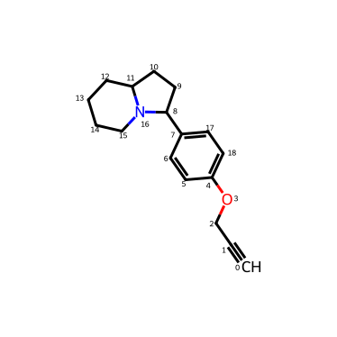 C#CCOc1ccc(C2CCC3CCCCN32)cc1